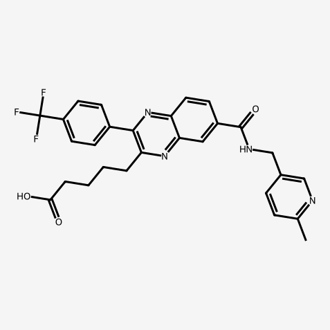 Cc1ccc(CNC(=O)c2ccc3nc(-c4ccc(C(F)(F)F)cc4)c(CCCCC(=O)O)nc3c2)cn1